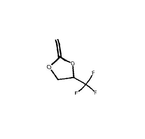 C=C1OCC(C(F)(F)F)O1